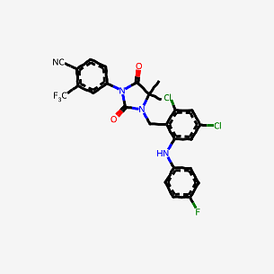 CC1(C)C(=O)N(c2ccc(C#N)c(C(F)(F)F)c2)C(=O)N1Cc1c(Cl)cc(Cl)cc1Nc1ccc(F)cc1